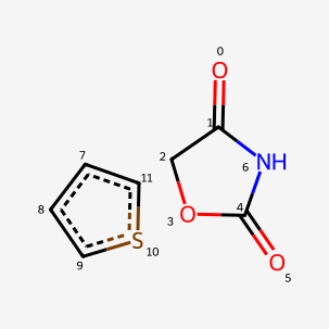 O=C1COC(=O)N1.c1ccsc1